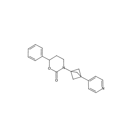 O=C1OC(c2ccccc2)CCN1C12CC(c3ccncc3)(C1)C2